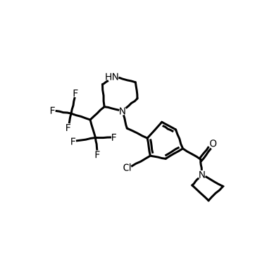 O=C(c1ccc(CN2CCNCC2C(C(F)(F)F)C(F)(F)F)c(Cl)c1)N1CCC1